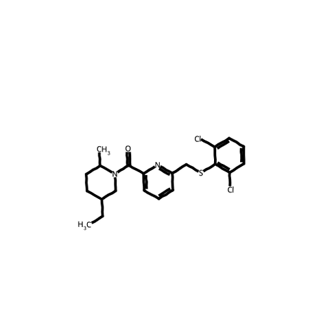 CCC1CCC(C)N(C(=O)c2cccc(CSc3c(Cl)cccc3Cl)n2)C1